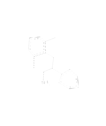 Cc1cccc(C)c1CC(CN)c1ccccc1